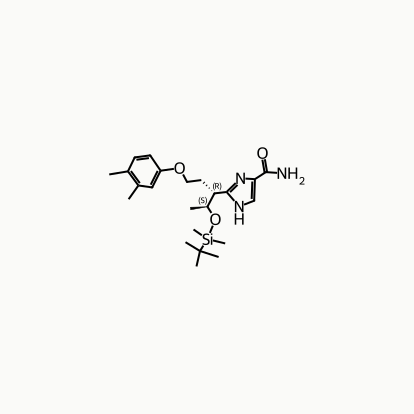 Cc1ccc(OCC[C@H](c2nc(C(N)=O)c[nH]2)[C@H](C)O[Si](C)(C)C(C)(C)C)cc1C